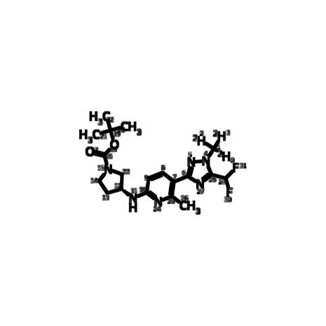 [2H]C([2H])([2H])n1nc(-c2ccc(N[C@H]3CCN(C(=O)OC(C)(C)C)C3)nc2C)nc1C(F)F